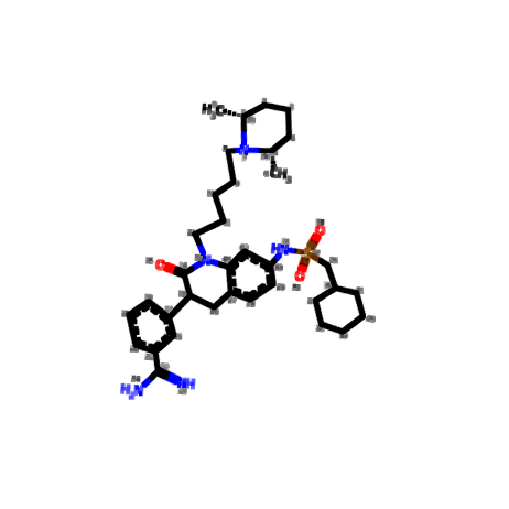 C[C@@H]1CCC[C@H](C)N1CCCCCN1C(=O)C(c2cccc(C(=N)N)c2)Cc2ccc(NS(=O)(=O)CC3CCCCC3)cc21